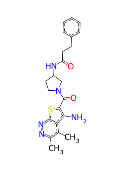 Cc1nnc2sc(C(=O)N3CCC(NC(=O)CCc4ccccc4)C3)c(N)c2c1C